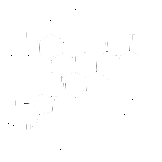 O=C(NC(C(F)(F)F)C(F)(F)F)c1cn(-c2ncc(F)cc2F)c2nc(N3CC(O)[C@@H](O)C3)ccc2c1=O